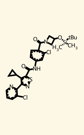 CC(C)(C)[Si](C)(C)OC1CN(C(=O)c2ccc(NC(=O)c3snc(-c4ncccc4Cl)c3C3CC3)cc2Cl)C1